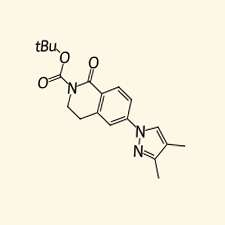 Cc1cn(-c2ccc3c(c2)CCN(C(=O)OC(C)(C)C)C3=O)nc1C